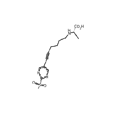 C[C@H](NCCCCC#Cc1cnc(S(C)(=O)=O)nc1)C(=O)O